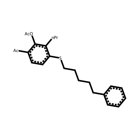 CCCc1c(SCCCCCc2ccccc2)ccc(C(C)=O)c1OC(C)=O